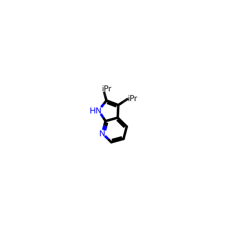 CC(C)c1[nH]c2ncccc2c1C(C)C